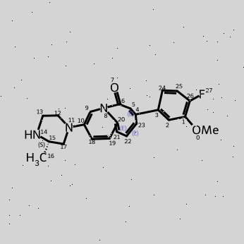 COc1cc(C2=C\C(=O)N3C=C(N4CCN[C@@H](C)C4)C=C\C3=C/C=C/2)ccc1F